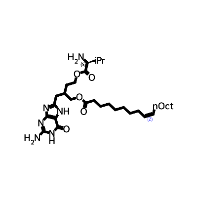 CCCCCCCC/C=C\CCCCCCCC(=O)OCC(CCOC(=O)[C@@H](N)C(C)C)Cc1nc2nc(N)[nH]c(=O)c2[nH]1